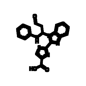 O=CCC(Nc1ccccc1)n1c(-c2nc(C(=O)O)cs2)nc2ccccc21